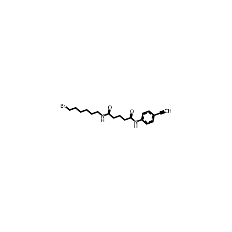 C#Cc1ccc(NC(=O)CCCC(=O)NCCCCCCBr)cc1